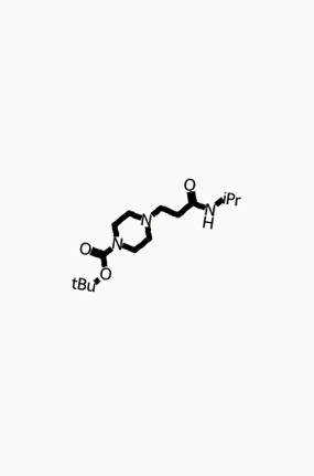 CC(C)NC(=O)CCN1CCN(C(=O)OC(C)(C)C)CC1